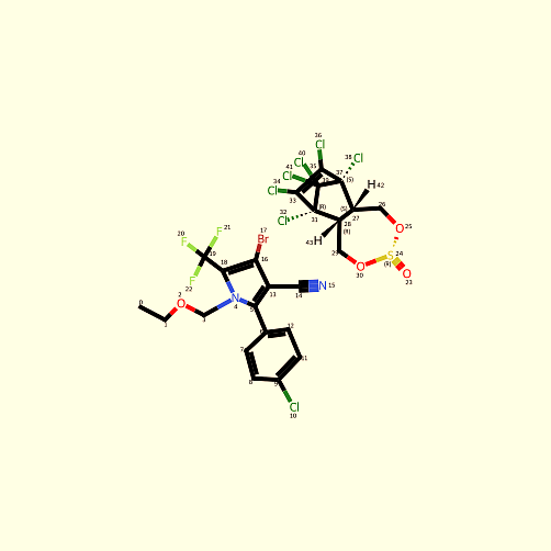 CCOCn1c(-c2ccc(Cl)cc2)c(C#N)c(Br)c1C(F)(F)F.O=[S@]1OC[C@@H]2[C@H](CO1)[C@@]1(Cl)C(Cl)=C(Cl)[C@]2(Cl)C1(Cl)Cl